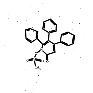 CS(=O)(=O)On1c(-c2ccccc2)c(-c2ccccc2)c(-c2ccccc2)cc1=O